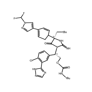 CC(C)(C)C[C@]1(C2C=CC(c3cnn(C(F)F)c3)=CC2)NC(=N)N([C@H](COC(=O)NC(C)(C)C)c2ccc(Cl)c(-c3ncn[nH]3)c2)C1=O